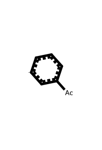 CC(=O)c1c[c]ccc1